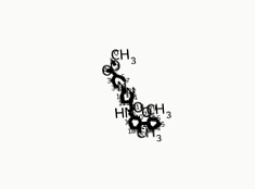 CCOC(=O)C1CCN(c2ccc(C(=O)Nc3ccc(C)c(-c4ccccc4OC)c3)cn2)CC1